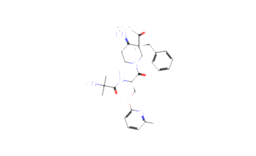 CNC(=O)[C@]1(Cc2ccccc2)CN(C(=O)[C@@H](COc2cccc(C(F)(F)F)n2)NC(=O)C(C)(C)N)CCC1=N